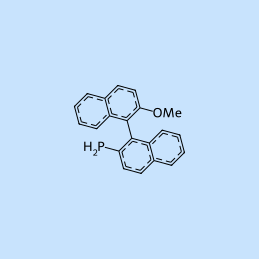 COc1ccc2ccccc2c1-c1c(P)ccc2ccccc12